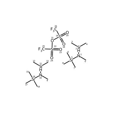 CN([SiH](C)C)[Si](C)(C)C.CN([SiH](C)C)[Si](C)(C)C.O=S(=O)(OS(=O)(=O)C(F)(F)F)C(F)(F)F